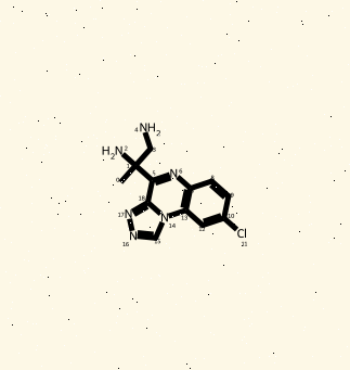 CC(N)(CN)c1nc2ccc(Cl)cc2n2cnnc12